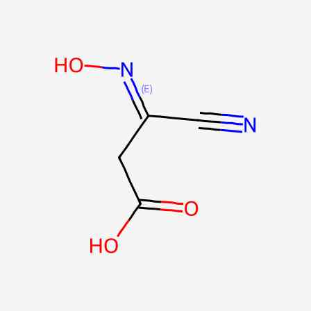 N#C/C(CC(=O)O)=N/O